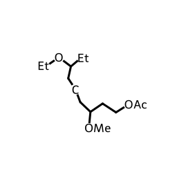 CCOC(CC)CCCC(CCOC(C)=O)OC